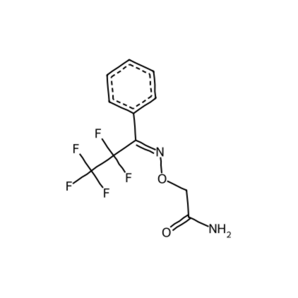 NC(=O)CON=C(c1ccccc1)C(F)(F)C(F)(F)F